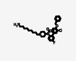 NCCCCCCCCCN1CCC(N(C(=O)O)c2ccc(F)cc2-c2ccc(OCc3ccccc3)c(Cl)c2)CC1